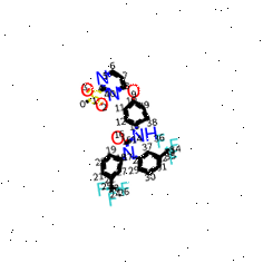 CS(=O)(=O)c1nccc(Oc2ccc(NC(=O)N(c3cccc(C(F)(F)F)c3)c3cccc(C(F)(F)F)c3)cc2)n1